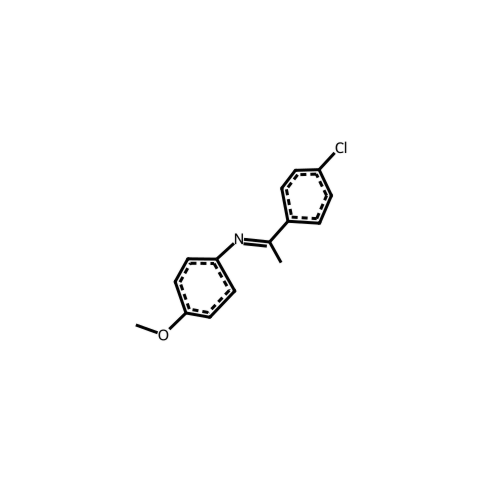 COc1ccc(/N=C(\C)c2ccc(Cl)cc2)cc1